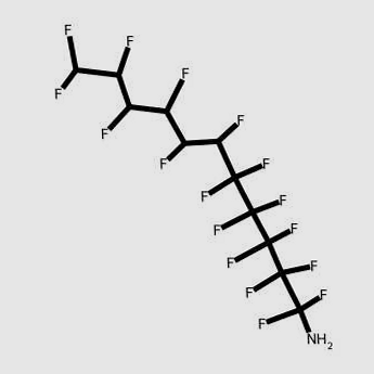 NC(F)(F)C(F)(F)C(F)(F)C(F)(F)C(F)(F)C(F)C(F)C(F)C(F)C(F)C(F)F